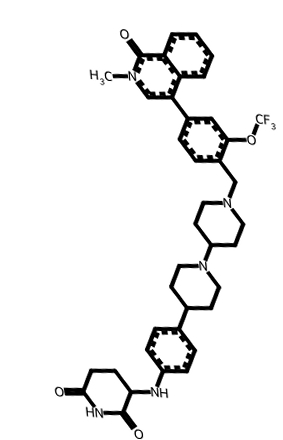 Cn1cc(-c2ccc(CN3CCC(N4CCC(c5ccc(NC6CCC(=O)NC6=O)cc5)CC4)CC3)c(OC(F)(F)F)c2)c2ccccc2c1=O